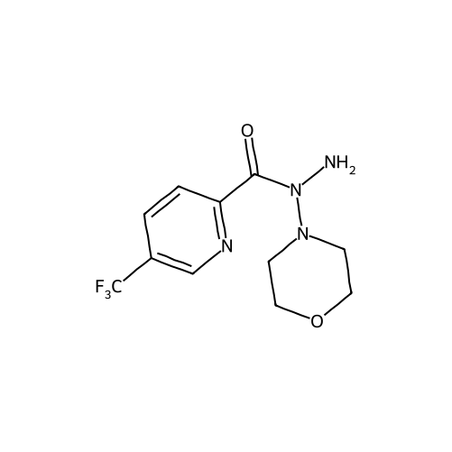 NN(C(=O)c1ccc(C(F)(F)F)cn1)N1CCOCC1